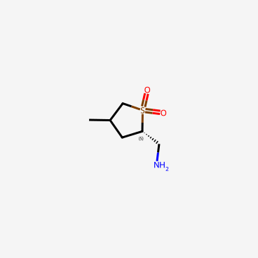 CC1C[C@@H](CN)S(=O)(=O)C1